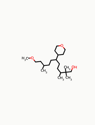 COCCC(C)CCC(CCC(C)C(C)(C)CO)C1CCOCC1